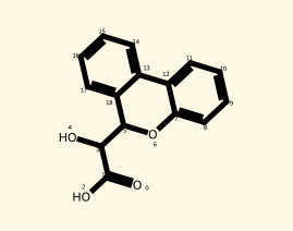 O=C(O)C(O)C1Oc2ccccc2-c2ccccc21